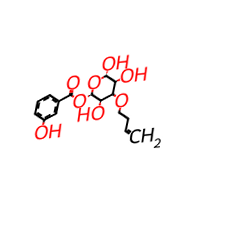 C=CCCOC1[C@@H](O)[C@H](OC(=O)c2cccc(O)c2)O[C@H](O)[C@H]1O